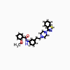 COc1ccccc1C(=O)Nc1cccc(CCN2CCN(c3nsc4ccccc34)CC2)c1